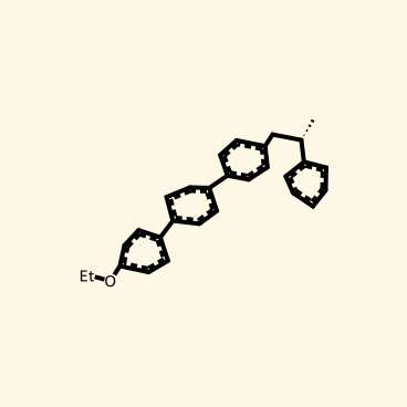 CCOc1ccc(-c2ccc(-c3ccc(C[C@H](C)c4ccccc4)cc3)cc2)cc1